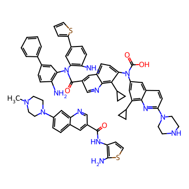 CN1CCN(c2ccc3cc(C(=O)Nc4ccsc4N)cnc3c2)CC1.Nc1ccc(-c2ccccc2)cc1N(C(=O)c1cnc2c(C3CC3)c(N(C(=O)O)c3cc(C4CC4)c4nc(N5CCNCC5)ccc4c3)ccc2c1)c1cc(-c2cccs2)ccc1N